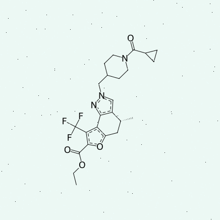 CCOC(=O)c1oc2c(c1C(F)(F)F)-c1nn(CC3CCN(C(=O)C4CC4)CC3)cc1[C@H](C)C2